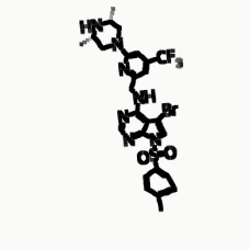 Cc1ccc(S(=O)(=O)n2cc(Br)c3c(NCc4cc(C(F)(F)F)cc(N5C[C@@H](C)N[C@@H](C)C5)n4)ncnc32)cc1